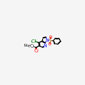 COC(=O)c1cnc2c(ccn2S(=O)(=O)c2ccccc2)c1Cl